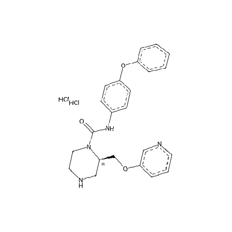 Cl.Cl.O=C(Nc1ccc(Oc2ccccc2)cc1)N1CCNC[C@@H]1COc1cccnc1